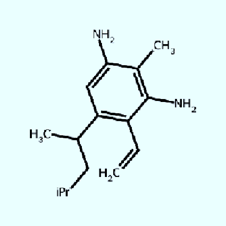 C=Cc1c(C(C)CC(C)C)cc(N)c(C)c1N